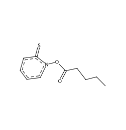 CCCCC(=O)On1ccccc1=S